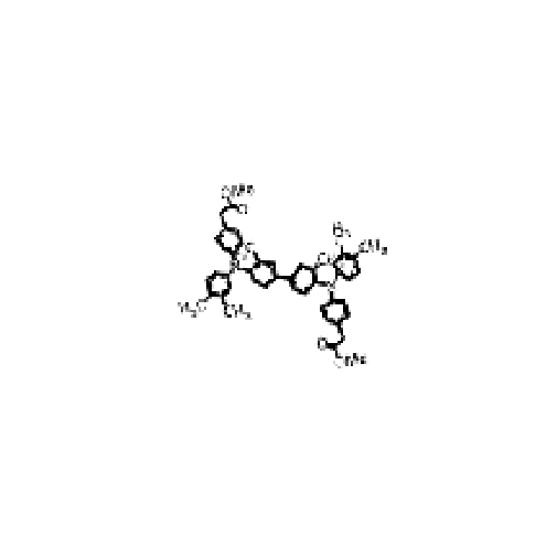 COC(=O)Cc1ccc(N(c2ccc(C)c(C)c2)c2ccc(-c3ccc(N(c4ccc(CC(=O)OC)cc4)c4ccc(C)c(C)c4)c(C)c3)cc2C)cc1